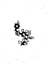 CCC(C)(C)C(=O)N(C)C[C@@H]1Cn2cc(-c3nnc(Cc4ccc(F)cc4)s3)c(=O)c(O)c2C(=O)N1C(C)C